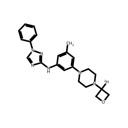 [2H]C1(N2CCN(c3cc(C)cc(Nc4ncn(-c5ccccc5)n4)c3)CC2)COC1